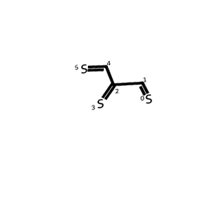 S=CC(=S)C=S